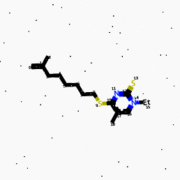 C=C(C)CCCCCCSc1nc(=S)n(CC)cc1C